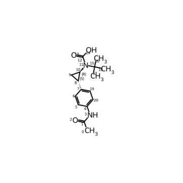 CC(=O)Nc1ccc([C@@H]2C[C@H]2N(C(=O)O)C(C)(C)C)cc1